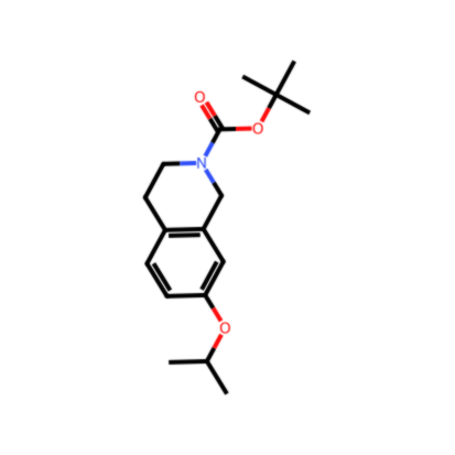 CC(C)Oc1ccc2c(c1)CN(C(=O)OC(C)(C)C)CC2